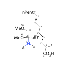 CCCCCC=CCCCCC(C)C(=O)O.COCC(OC)(C(C)C)N(C)C